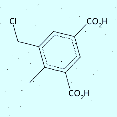 Cc1c(CCl)cc(C(=O)O)cc1C(=O)O